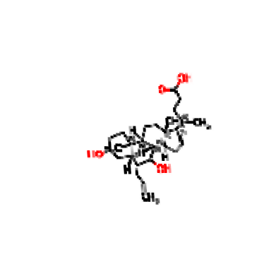 C=CCC1C(O)[C@@H]2[C@H](CC[C@]3(C)[C@@H]([C@H](C)CCC(=O)O)CC[C@@H]23)[C@@]2(C)CC[C@@H](O)C[C@@H]12